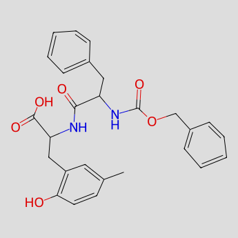 Cc1ccc(O)c(CC(NC(=O)C(Cc2ccccc2)NC(=O)OCc2ccccc2)C(=O)O)c1